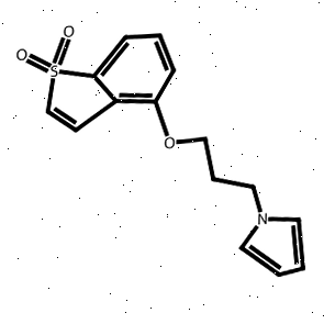 O=S1(=O)C=Cc2c(OCCCn3cccc3)cccc21